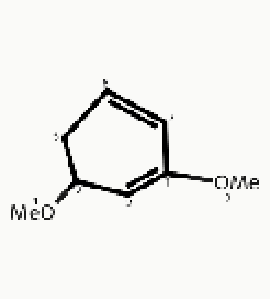 COC1=CC(OC)CC=C1